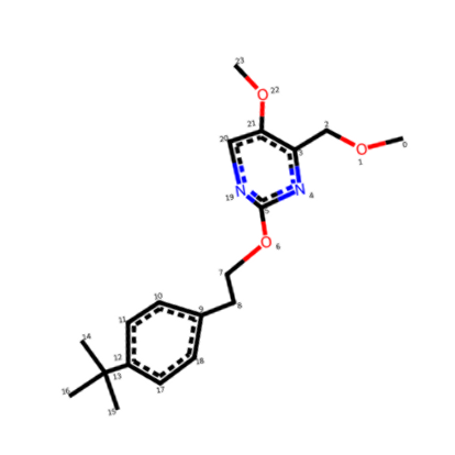 COCc1nc(OCCc2ccc(C(C)(C)C)cc2)ncc1OC